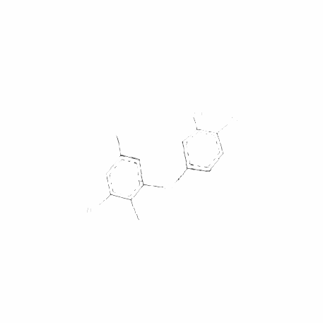 CC(=O)c1ccc(Oc2cc(C)cc(O)c2C)cc1O